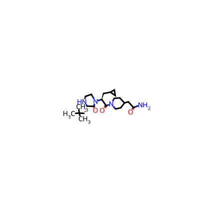 CC(C)(C)C[C@@H]1NCCN([C@@H](CC2CC2)C(=O)N2CCC(CC(N)=O)CC2)C1=O